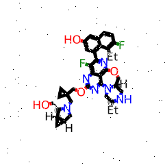 CCc1c(F)ccc2cc(O)cc(-c3nc4c5c(nc(OCC6(CN7C[C@@H]8C[C@@H]8[C@@H]7CO)CC6)nc5c3F)N3C[C@@H](CC)NC[C@H]3CO4)c12